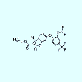 CCOC(=O)[C@H]1[C@@H]2OC3=CC(Oc4ccc(C(F)(F)F)cc4OC(F)F)=CCC3[C@@H]21